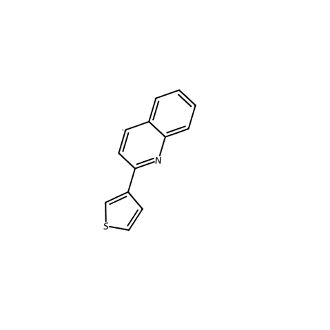 [c]1cc(-c2ccsc2)nc2ccccc12